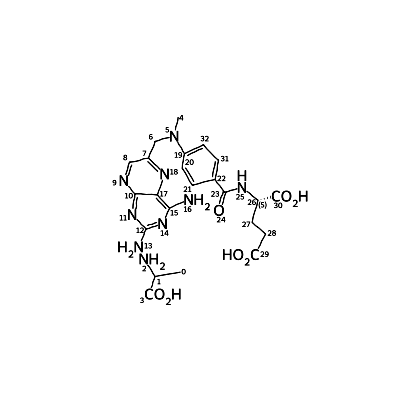 CC(N)C(=O)O.CN(Cc1cnc2nc(N)nc(N)c2n1)c1ccc(C(=O)N[C@@H](CCC(=O)O)C(=O)O)cc1